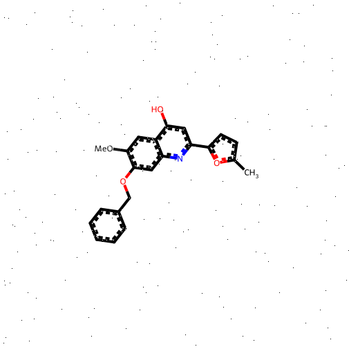 COc1cc2c(O)cc(-c3ccc(C)o3)nc2cc1OCc1ccccc1